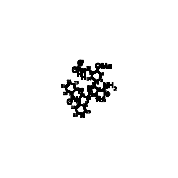 COc1ccc(-c2nn(C(C)c3nc4ccccc4c(=O)n3-c3ccccc3)c3ncnc(N)c23)cc1CN[SH](=O)=O